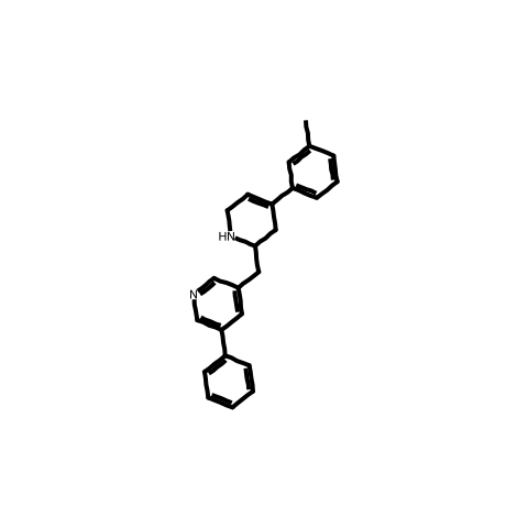 Cc1cccc(C2=CCNC(Cc3cncc(-c4ccccc4)c3)C2)c1